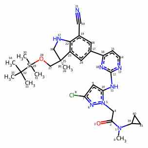 CN(C(=O)Cn1nc(Cl)cc1Nc1nccc(-c2cc(C#N)c3c(c2)[C@@](C)(CO[Si](C)(C)C(C)(C)C)CN3)n1)C1CC1